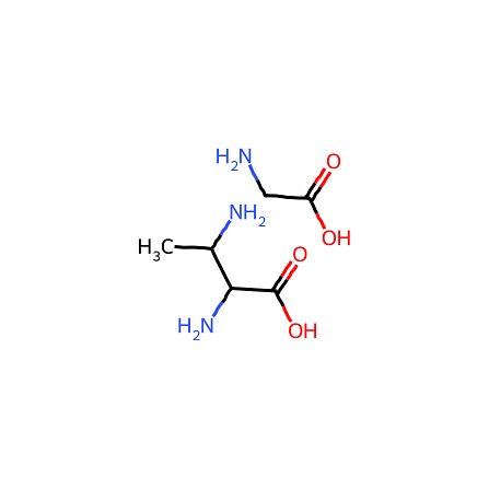 CC(N)C(N)C(=O)O.NCC(=O)O